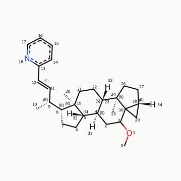 COC1C[C@H]2[C@@H]3CC[C@H]([C@H](C)/C=C/c4ccccn4)[C@@]3(C)CC[C@@H]2[C@@]2(C)CC[C@@H]3CC132